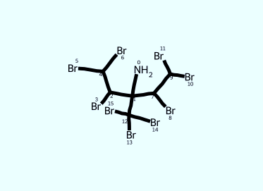 NC(C(Br)C(Br)Br)(C(Br)C(Br)Br)C(Br)(Br)Br